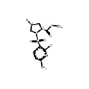 COC(=O)[C@@H]1C[C@H](F)CN1S(=O)(=O)c1ccc(C)nc1Cl